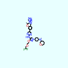 C[C@@H](Cn1cnnn1)Oc1cc(-c2cnc(Nc3cn([C@H]4CC[C@H](N(C)[C@@H]5CCCCOC5)CC4)nc3OCCOCC(F)F)nc2)ccc1C#N